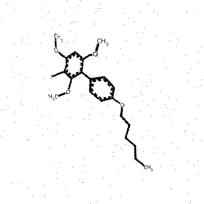 CCCCCCOc1ccc(-c2c(OC)cc(OC)c(I)c2OC)cc1